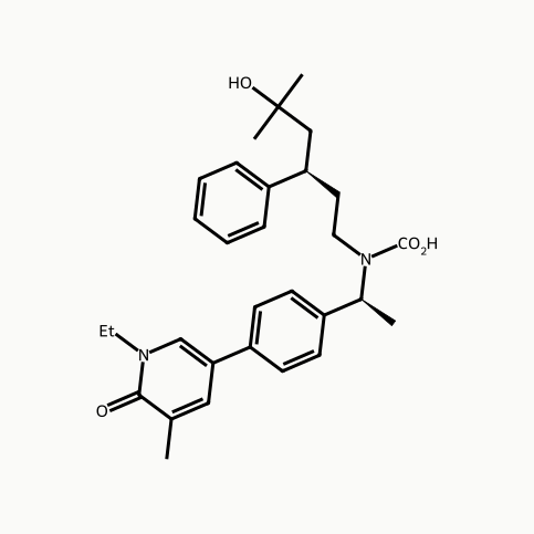 CCn1cc(-c2ccc([C@H](C)N(CC[C@H](CC(C)(C)O)c3ccccc3)C(=O)O)cc2)cc(C)c1=O